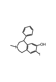 CN1CCc2cc(I)c(O)cc2C(c2ccccc2)C1